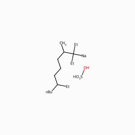 CCCCC(CC)CCCC(C)[C]([Na])(CC)CC.O=S(=O)(O)O